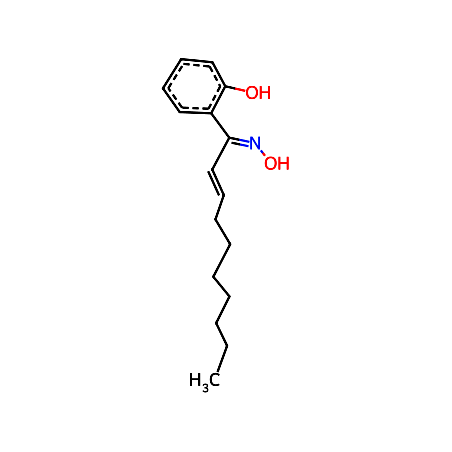 CCCCCCCC=CC(=NO)c1ccccc1O